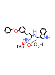 CC(C)(C)OC(=O)NCC(CCc1cccc(OCc2ccccc2)c1)N[C@@H](CCC(=O)O)c1c[nH]c2ccccc12